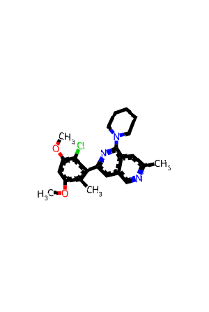 COc1cc(OC)c(Cl)c(-c2cc3cnc(C)cc3c(N3CCCCC3)n2)c1C